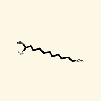 CCCCCCCCCCCCCCCCCCCCC(C)CCCC